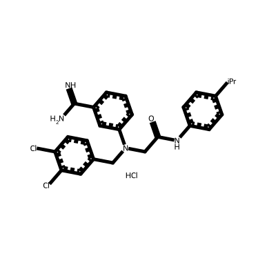 CC(C)c1ccc(NC(=O)CN(Cc2ccc(Cl)c(Cl)c2)c2cccc(C(=N)N)c2)cc1.Cl